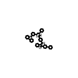 c1ccc(-c2ccc3c(c2)nc(-c2ccc(-c4nc(-c5ccccc5)cc(-c5cccc(-n6c7ccccc7c7ccccc76)c5)n4)cc2)c2c4ccccc4oc32)cc1